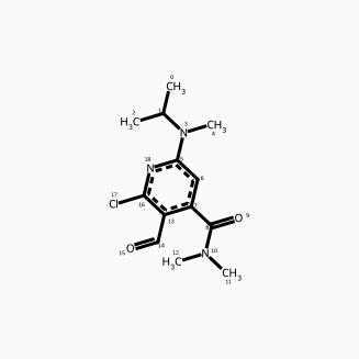 CC(C)N(C)c1cc(C(=O)N(C)C)c(C=O)c(Cl)n1